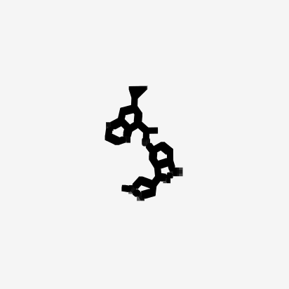 CC(Oc1ccc2[nH]nc(-c3cnn(C)c3)c2c1)c1cc(C2CC2)cc2nccnc12